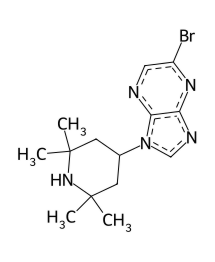 CC1(C)CC(n2cnc3nc(Br)cnc32)CC(C)(C)N1